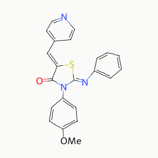 COc1ccc(N2C(=O)C(=Cc3ccncc3)SC2=Nc2ccccc2)cc1